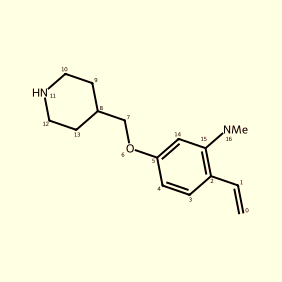 C=Cc1ccc(OCC2CCNCC2)cc1NC